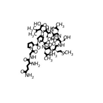 CSCC[C@H](NC(=O)[C@H](CC(C)C)NC(=O)[C@@H]1CCCN1C(=O)[C@@H]1CCCN1C(=O)CNC(=O)[C@@H](N)CCC(N)=O)C(=O)N[C@@H](CO)C(=O)N[C@@H](CC(C)C)C(=O)N[C@@H](CO)C(=O)N[C@H](C(=O)O)C(C)C